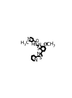 COc1ccc(-c2csc(-c3ccccn3)n2)c2sc(NC(=O)c3ccnc(C)c3)nc12